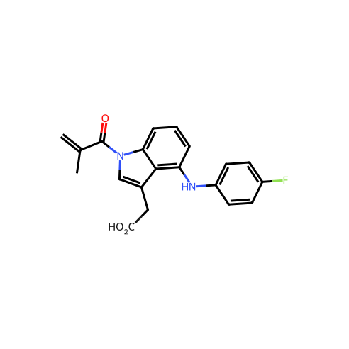 C=C(C)C(=O)n1cc(CC(=O)O)c2c(Nc3ccc(F)cc3)cccc21